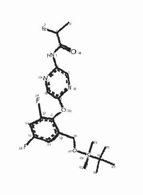 CC(Br)C(=O)Nc1cnc(Oc2c(F)cc(F)cc2CO[Si](C)(C)C(C)(C)C)cn1